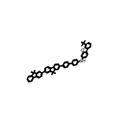 CC(C)(C)c1cccc2c1oc1cc(Nc3ccc(-c4ccc(-c5ccc6c(c5)C(C)(C)c5cc(-c7ccc8c(c7)C(C)(C)c7ccccc7-8)ccc5-6)cc4)cc3)ccc12